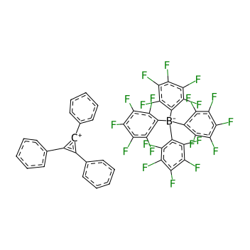 Fc1c(F)c(F)c([B-](c2c(F)c(F)c(F)c(F)c2F)(c2c(F)c(F)c(F)c(F)c2F)c2c(F)c(F)c(F)c(F)c2F)c(F)c1F.c1ccc(-c2c(-c3ccccc3)[c+]2-c2ccccc2)cc1